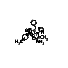 C[C@@H](C(N)=O)N(C(=O)[C@H](Cc1ccccc1)NS(=O)(=O)N1CCN(C)CC1)c1nccs1